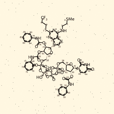 CSCCNc1nc(SCCC(F)(F)F)nc2c1ncn2[C@@H]1O[C@H](COP(=O)(O)OP(=O)(O)OP(=O)(O)OP(=O)(O)OC[C@H]2O[C@@H](n3ccc(=O)[nH]c3=O)[C@H](OC(=O)Nc3ccccc3)[C@@H]2O)[C@@H](OC(=O)Nc2ccccc2)[C@H]1OC(=O)Nc1ccccc1